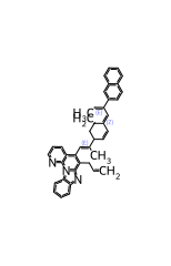 C=CCc1c(/C=C(\C)C2C=C/C(=C/C(=C\C)c3ccc4ccccc4c3)C(=C)C2)c2cccnc2n2c1nc1ccccc12